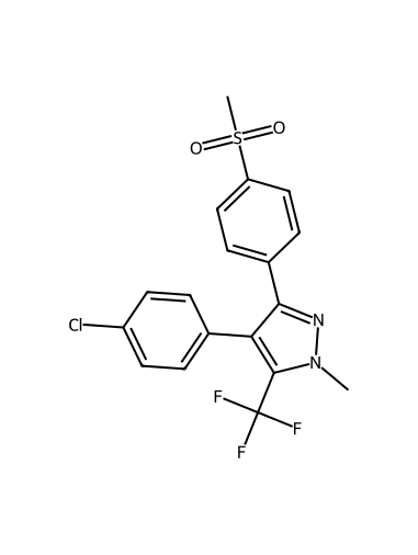 Cn1nc(-c2ccc(S(C)(=O)=O)cc2)c(-c2ccc(Cl)cc2)c1C(F)(F)F